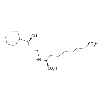 O=C(O)CCCCCC[C@H](NCC[C@H](O)C1CCCCC1)C(=O)O